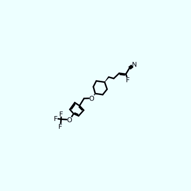 N#CC(F)=CCC[C@H]1CC[C@H](OCc2ccc(OC(F)(F)F)cc2)CC1